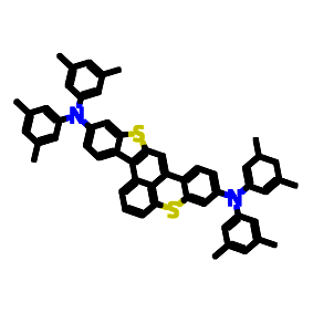 CC1=CC(N(c2cc(C)cc(C)c2)c2ccc3c(c2)Sc2cccc4c2c-3cc2sc3cc(N(c5cc(C)cc(C)c5)c5cc(C)cc(C)c5)ccc3c24)=CC(C)C1